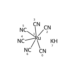 N#[C][Ru]([C]#N)([C]#N)([C]#N)([C]#N)[C]#N.[KH]